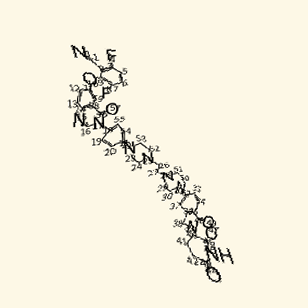 N#Cc1c(F)ccc(F)c1Oc1ccc2ncn(-c3ccc(N4CCN(CCN5CCN(c6ccc7c(c6)CN(C6CCC(=O)NC6=O)C7=O)CC5)CC4)cc3)c(=O)c2c1